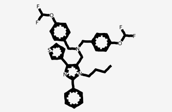 CCCCn1c(-c2ccccc2)nc(-c2ccsc2)c1CN(Cc1ccc(OC(F)F)cc1)Cc1ccc(OC(F)F)cc1